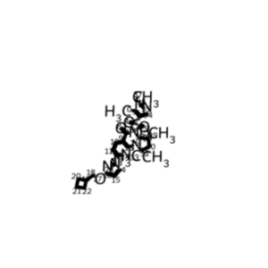 Cc1c(S(=O)(=O)NC(=O)c2ccc(-n3ccc(OCC4CCC4)n3)nc2N2C[C@@H](C)CC2(C)C)cnn1C